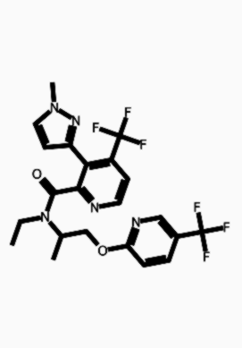 CCN(C(=O)c1nccc(C(F)(F)F)c1-c1ccn(C)n1)C(C)COc1ccc(C(F)(F)F)cn1